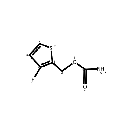 NC(=O)OCc1sccc1F